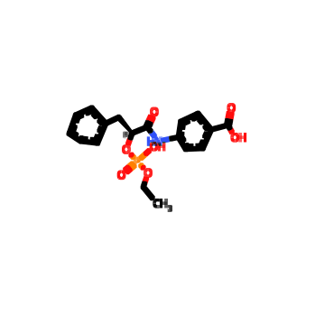 CCOP(=O)(O)O[C@@H](Cc1ccccc1)C(=O)Nc1ccc(C(=O)O)cc1